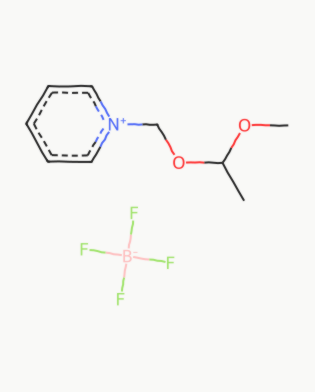 COC(C)OC[n+]1ccccc1.F[B-](F)(F)F